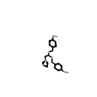 CSc1ccc(CSC(Cn2ccnc2)SCc2ccc(SC)cc2)cc1